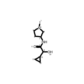 O=C(NC1CCN(I)C1)C(O)C1CC1